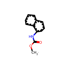 [CH2]OC(=O)Nc1cccc2ccccc12